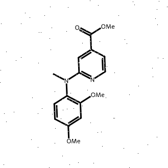 COC(=O)c1ccnc(N(C)c2ccc(OC)cc2OC)c1